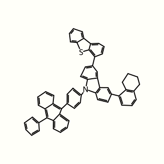 c1ccc(-c2c3ccccc3c(-c3ccc(-n4c5ccc(-c6cccc7c6CCCC7)cc5c5cc(-c6cccc7c6sc6ccccc67)ccc54)cc3)c3ccccc23)cc1